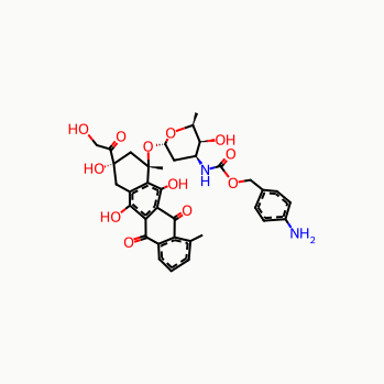 Cc1cccc2c1C(=O)c1c(O)c3c(c(O)c1C2=O)C[C@@](O)(C(=O)CO)C[C@]3(C)O[C@H]1C[C@H](NC(=O)OCc2ccc(N)cc2)[C@H](O)[C@H](C)O1